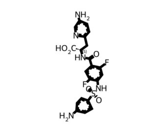 Nc1ccc(S(=O)(=O)Nc2cc(F)c(C(=O)N[C@@H](Cc3ccc(N)cn3)C(=O)O)cc2F)cc1